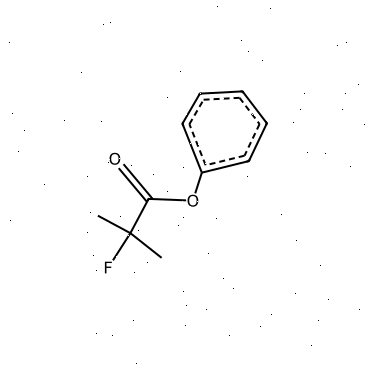 CC(C)(F)C(=O)Oc1ccccc1